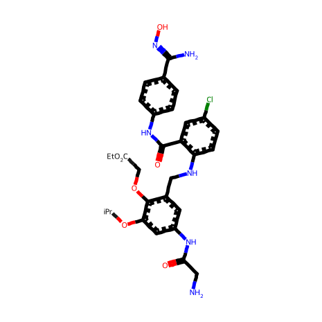 CCOC(=O)COc1c(CNc2ccc(Cl)cc2C(=O)Nc2ccc(/C(N)=N/O)cc2)cc(NC(=O)CN)cc1OC(C)C